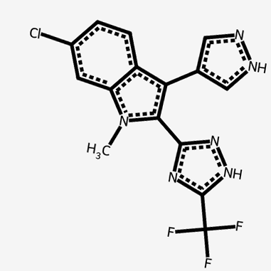 Cn1c(-c2n[nH]c(C(F)(F)F)n2)c(-c2cn[nH]c2)c2ccc(Cl)cc21